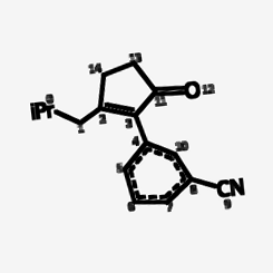 CC(C)CC1=C(c2cccc(C#N)c2)C(=O)CC1